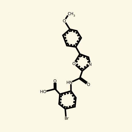 COc1ccc(-c2cnc(C(=O)Nc3ccc(Br)cc3C(=O)O)o2)cc1